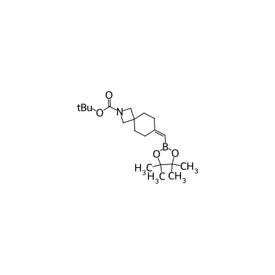 CC(C)(C)OC(=O)N1CC2(CCC(=CB3OC(C)(C)C(C)(C)O3)CC2)C1